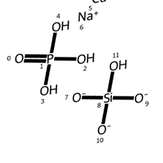 O=P(O)(O)O.[Ca+2].[Na+].[O-][Si]([O-])([O-])O